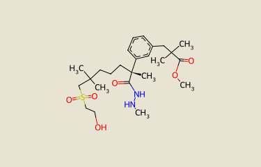 CNNC(=O)[C@](C)(CCCC(C)(C)CS(=O)(=O)CCO)c1cccc(CC(C)(C)C(=O)OC)c1